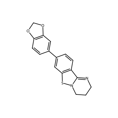 c1cc2c(cc1-c1ccc3c(c1)SN1CCCN=C31)OCO2